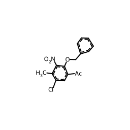 CC(=O)c1cc(Cl)c(C)c([N+](=O)[O-])c1OCc1ccccc1